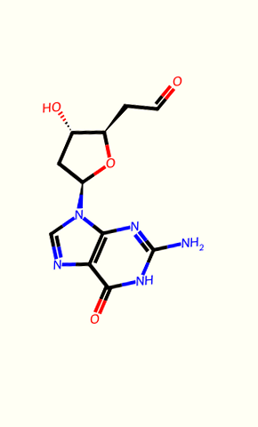 Nc1nc2c(ncn2[C@H]2C[C@H](O)[C@@H](CC=O)O2)c(=O)[nH]1